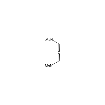 CNC=C=CNC